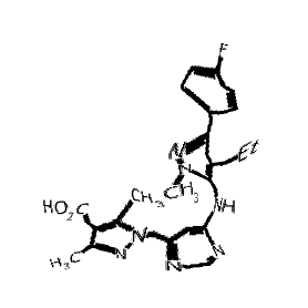 CCc1c(-c2ccc(F)cc2)nn(C)c1Nc1cc(-n2nc(C)c(C(=O)O)c2C)ncn1